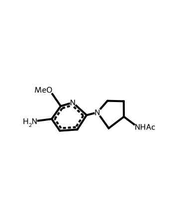 COc1nc(N2CCC(NC(C)=O)C2)ccc1N